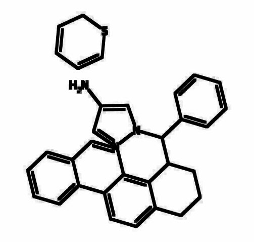 C1=CCSC=C1.Nc1cnn(C(c2ccccc2)C2CCCc3ccc4c(ccc5ccccc54)c32)c1